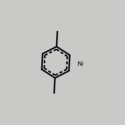 Cc1ccc(C)cc1.[Ni]